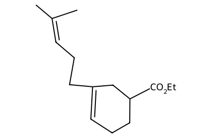 CCOC(=O)C1CCC=C(CCC=C(C)C)C1